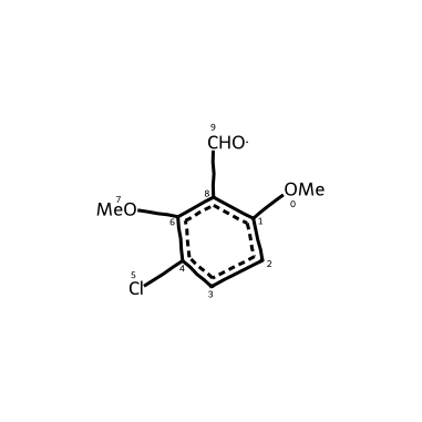 COc1ccc(Cl)c(OC)c1[C]=O